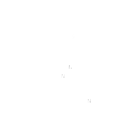 c1cncc(-c2ccc(-c3nc(-c4ccc5sc6ccccc6c5c4)cc(-c4ccc5ccc6cccc7ccc4c5c67)n3)cc2)c1